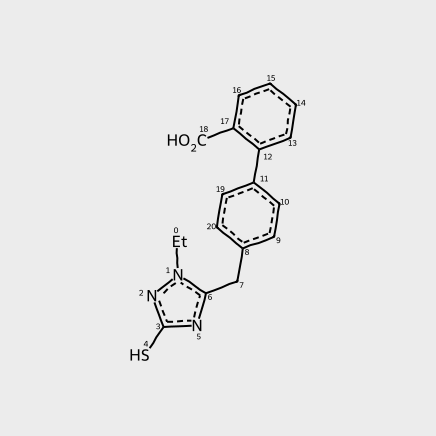 CCn1nc(S)nc1Cc1ccc(-c2ccccc2C(=O)O)cc1